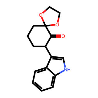 O=C1C(c2c[nH]c3ccccc23)CCCC12OCCO2